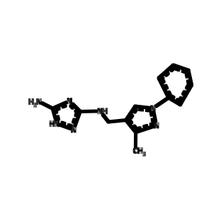 Cc1nn(-c2ccccc2)cc1CNc1n[nH]c(N)n1